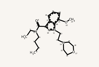 CCCCN(CC)C(=O)c1nn(CCN2CCOCC2)c2c(OC)cccc12